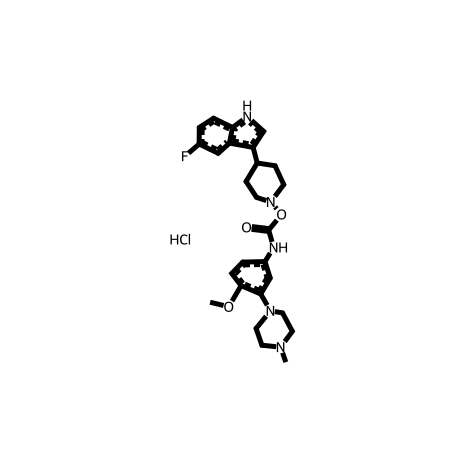 COc1ccc(NC(=O)ON2CCC(c3c[nH]c4ccc(F)cc34)CC2)cc1N1CCN(C)CC1.Cl